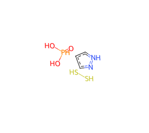 O=[PH](O)O.SS.c1cn[nH]c1